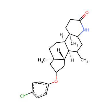 CC1CC2NC(=O)CC[C@]2(C)[C@@H]2CC[C@]3(C)CC(Oc4ccc(Cl)cc4)C[C@H]3[C@H]12